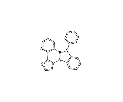 c1ccc(N2B3c4cccnc4-c4sccc4N3c3ccccc32)cc1